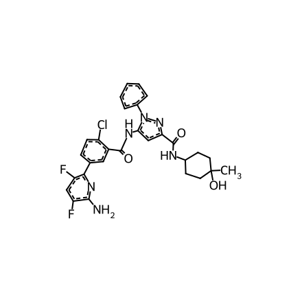 CC1(O)CCC(NC(=O)c2cc(NC(=O)c3cc(-c4nc(N)c(F)cc4F)ccc3Cl)n(-c3ccccc3)n2)CC1